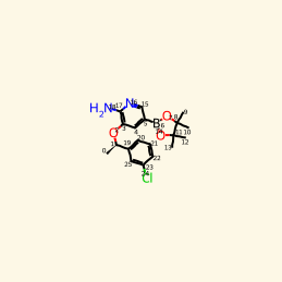 C[C@@H](Oc1cc(B2OC(C)(C)C(C)(C)O2)cnc1N)c1cccc(Cl)c1